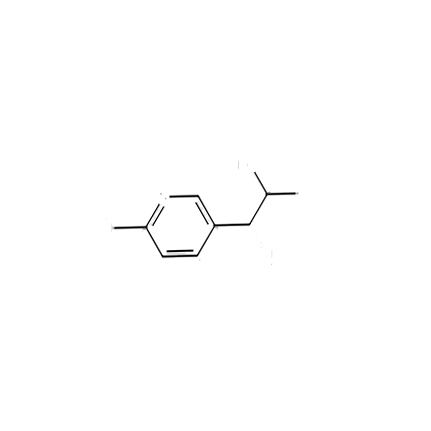 CC(C)[C@H](C)c1ccc(Cl)nc1